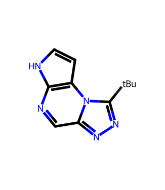 CC(C)(C)c1nnc2cnc3[nH]ccc3n12